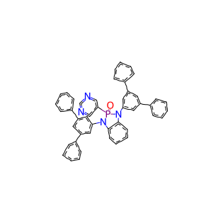 O=P1(c2cncnc2)N(c2cc(-c3ccccc3)cc(-c3ccccc3)c2)c2ccccc2N1c1cc(-c2ccccc2)cc(-c2ccccc2)c1